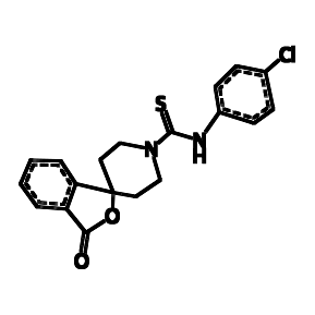 O=C1OC2(CCN(C(=S)Nc3ccc(Cl)cc3)CC2)c2ccccc21